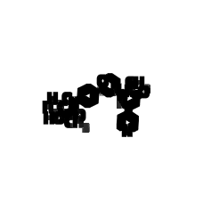 CN(C(=O)C(C)(C)O)c1ccc([C@H]2CN(c3nc(-c4ccncc4)cc(=O)n3C)CCO2)cc1